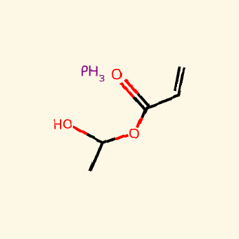 C=CC(=O)OC(C)O.P